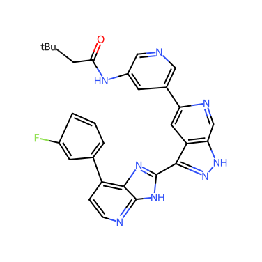 CC(C)(C)CC(=O)Nc1cncc(-c2cc3c(-c4nc5c(-c6cccc(F)c6)ccnc5[nH]4)n[nH]c3cn2)c1